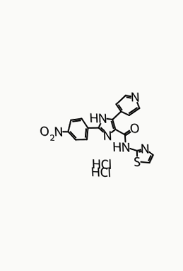 Cl.Cl.O=C(Nc1nccs1)c1nc(-c2ccc([N+](=O)[O-])cc2)[nH]c1-c1ccncc1